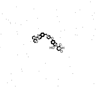 O=C1CCC(N2Cc3cc(O[C@H]4CCN(Cc5ccc6nc(N7CCC[C@@]78CCOC8)ncc6c5)C4)ccc3C2O)C(=O)N1